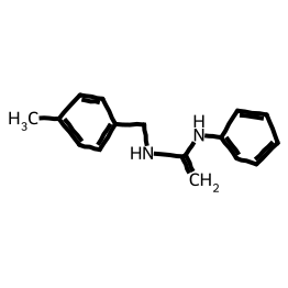 C=C(NCc1ccc(C)cc1)Nc1ccccc1